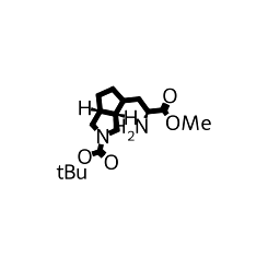 COC(=O)[C@@H](N)CC1CC[C@H]2CN(C(=O)OC(C)(C)C)C[C@@H]12